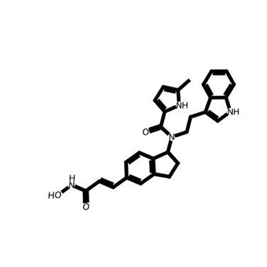 Cc1ccc(C(=O)N(CCc2c[nH]c3ccccc23)C2CCc3cc(/C=C/C(=O)NO)ccc32)[nH]1